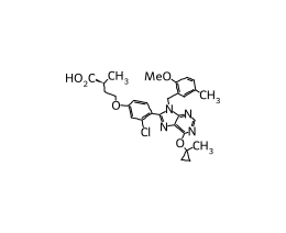 COc1ccc(C)cc1Cn1c(-c2ccc(OCC[C@H](C)C(=O)O)cc2Cl)nc2c(OC3(C)CC3)ncnc21